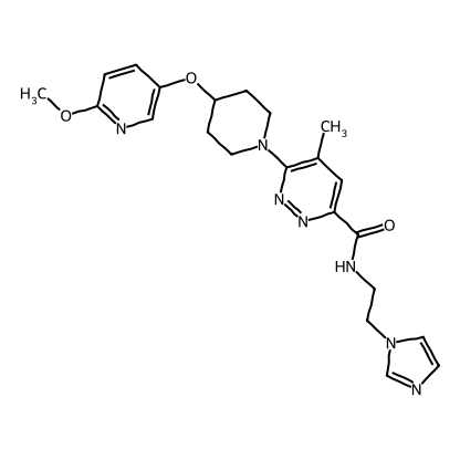 COc1ccc(OC2CCN(c3nnc(C(=O)NCCn4ccnc4)cc3C)CC2)cn1